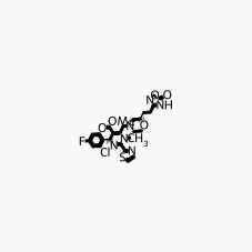 COC(=O)C1=C(CN2CCO[C@H](CCc3noc(=O)[nH]3)C2)N(C)C(c2nccs2)=N[C@H]1c1ccc(F)cc1Cl